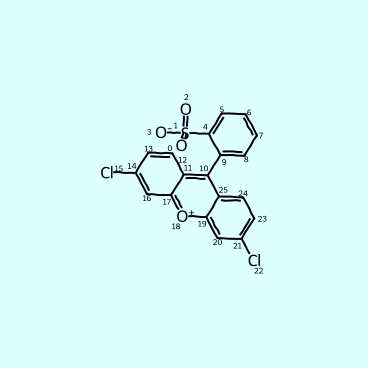 O=S(=O)([O-])c1ccccc1-c1c2ccc(Cl)cc2[o+]c2cc(Cl)ccc12